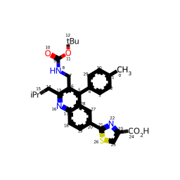 Cc1ccc(-c2c(CNC(=O)OC(C)(C)C)c(CC(C)C)nc3ccc(-c4nc(C(=O)O)cs4)cc23)cc1